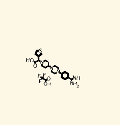 N=C(N)c1ccc(N2CCN(C3CCN(C(C(=O)O)c4ccsc4)CC3)CC2)cc1.O=C(O)C(F)(F)F